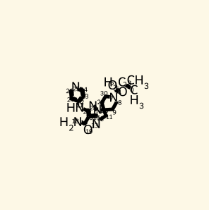 CC(C)(C)OC(=O)N1CCC(CC#N)(n2cc(C(N)=O)c(Nc3ccncc3)n2)CC1